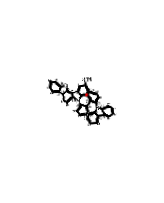 N#Cc1ccc2c(c1)c1c3oc4ccccc4c3ccc1n2-c1ccccc1-c1ccccc1-n1c2ccccc2c2ccccc21